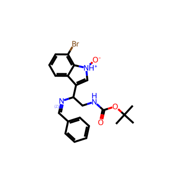 CC(C)(C)OC(=O)NCC(/N=C\c1ccccc1)C1=C[NH+]([O-])c2c(Br)cccc21